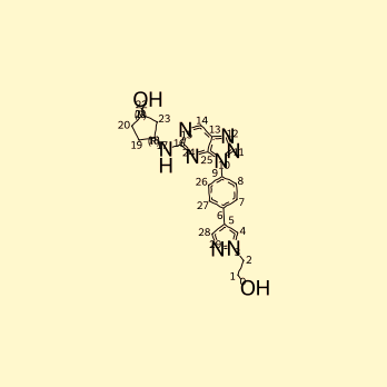 OCCn1cc(-c2ccc(-n3nnc4cnc(N[C@@H]5CC[C@@H](O)C5)nc43)cc2)cn1